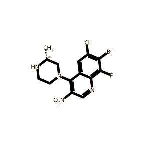 C[C@@H]1CN(c2c([N+](=O)[O-])cnc3c(F)c(Br)c(Cl)cc23)CCN1